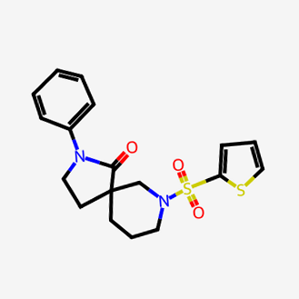 O=C1N(c2ccccc2)CCC12CCCN(S(=O)(=O)c1cccs1)C2